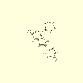 Cc1nc(N2CCCCC2)c2sc(-c3ccc(F)cc3)cc2n1